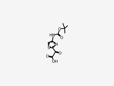 CC(C)(C)OC(=O)Nc1csc(C(=O)C(=O)O)n1